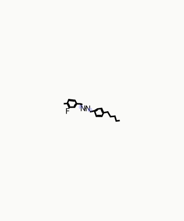 CCCCCc1ccc(/C=N/N=C/c2ccc(C)c(F)c2)cc1